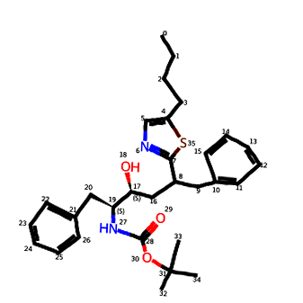 CCCCc1cnc(C(Cc2ccccc2)C[C@H](O)[C@H](Cc2ccccc2)NC(=O)OC(C)(C)C)s1